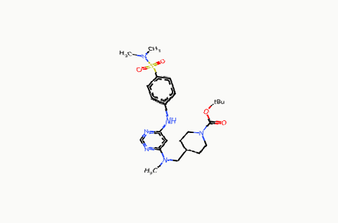 CN(CC1CCN(C(=O)OC(C)(C)C)CC1)c1cc(Nc2ccc(S(=O)(=O)N(C)C)cc2)ncn1